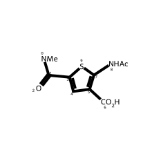 CNC(=O)c1cc(C(=O)O)c(NC(C)=O)s1